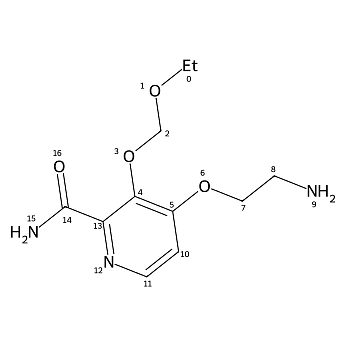 CCOCOc1c(OCCN)ccnc1C(N)=O